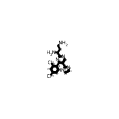 NCCC(N)c1ncc(-c2ncc[nH]2)c(-c2ccc(Cl)cc2Cl)n1